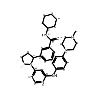 CN1CCN(c2ccc(Nc3cc(N4OCCC4c4cccc(C(=O)NC5CCCCC5)c4)ncn3)cc2)CC1